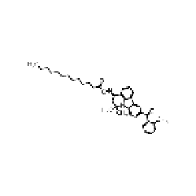 CCCCCCCCCCCCC(=O)O/N=C1\CC(C)(C)n2c3ccc(C(=O)c4ccccc4C)cc3c3cccc1c32